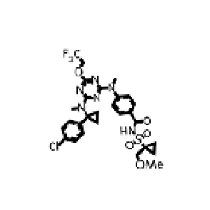 COCC1(S(=O)(=O)NC(=O)c2ccc(N(C)c3nc(OCC(F)(F)F)nc(N(C)C4(c5ccc(Cl)cc5)CC4)n3)cc2)CC1